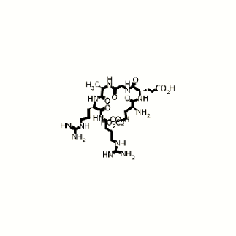 C[C@H](NC(=O)CNC(=O)[C@H](CCC(=O)O)NC(=O)[C@@H](N)CCC(=O)O)C(=O)N[C@@H](CCCNC(=N)N)C(=O)N[C@@H](CCCNC(=N)N)C(=O)O